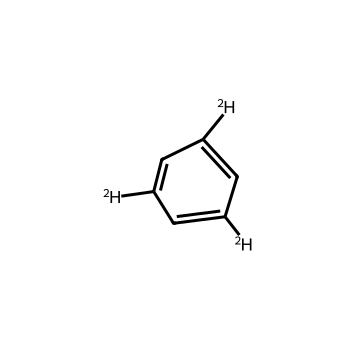 [2H]c1cc([2H])cc([2H])c1